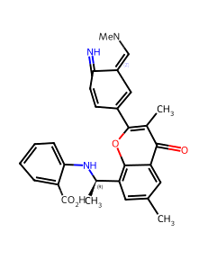 CN/C=C1/C=C(c2oc3c([C@@H](C)Nc4ccccc4C(=O)O)cc(C)cc3c(=O)c2C)C=CC1=N